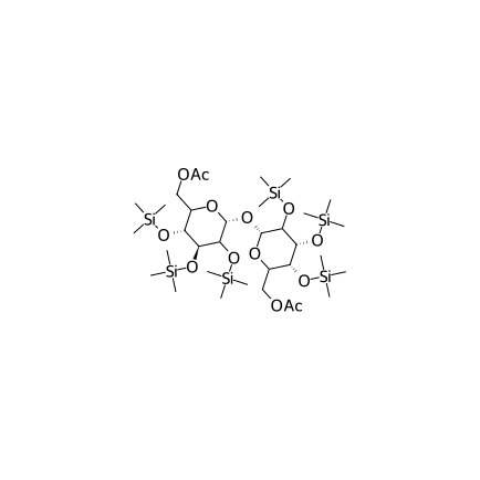 CC(=O)OCC1O[C@H](O[C@H]2OC(COC(C)=O)[C@@H](O[Si](C)(C)C)[C@@H](O[Si](C)(C)C)C2O[Si](C)(C)C)C(O[Si](C)(C)C)[C@@H](O[Si](C)(C)C)[C@@H]1O[Si](C)(C)C